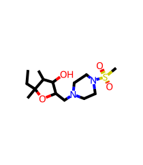 CCC1(C)OC(CN2CCN(S(C)(=O)=O)CC2)C(O)C1C